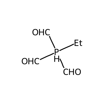 CC[PH](C=O)(C=O)C=O